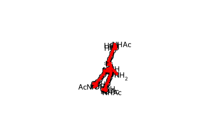 CC(=O)N[C@H]1[C@H]2OC[C@](COCCOCCOCCOCCn3cc(COCC(COCc4cn(CCOCCOCCOCCOC[C@@]56CO[C@@H](O5)[C@H](NC(C)=O)[C@@H](O)[C@H]6O)nn4)(COCc4cn(CCOCCOCCOCCOC[C@@]56CO[C@@H](O5)[C@H](NC(C)=O)[C@@H](OC(C)=O)[C@H]6O)nn4)NC(=O)CCCCCN)nn3)(O2)[C@H](O)[C@@H]1O